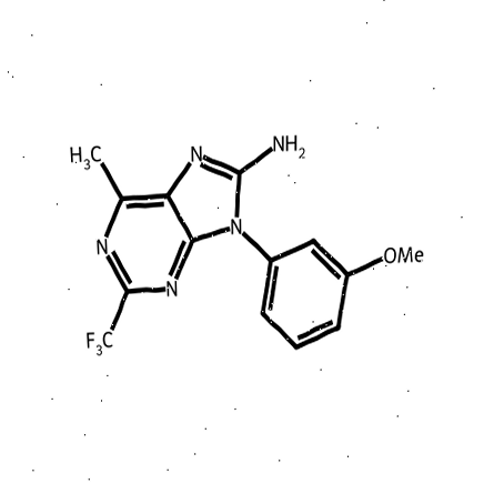 COc1cccc(-n2c(N)nc3c(C)nc(C(F)(F)F)nc32)c1